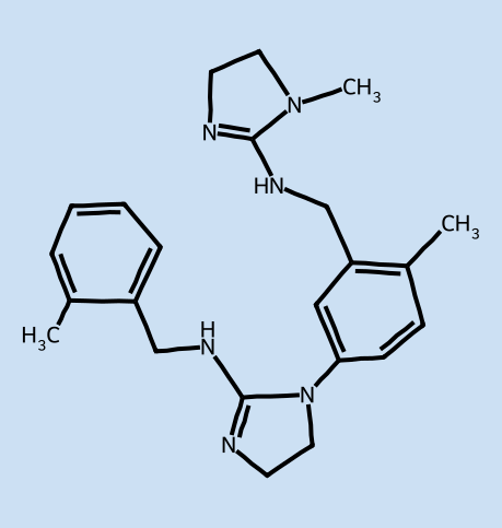 Cc1ccc(N2CCN=C2NCc2ccccc2C)cc1CNC1=NCCN1C